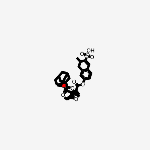 CC1Cc2cc(OC(=O)c3c4c5oc3c(OC(=O)C36CC7CC(C3)C(=O)C(C7)C6)c5OC4=O)ccc2C=C1S(=O)(=O)O